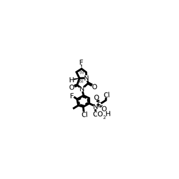 Cc1c(F)c(N2C(=O)[C@@H]3C[C@H](F)CN3C2=O)cc(N(C(=O)O)S(=O)(=O)CCl)c1Cl